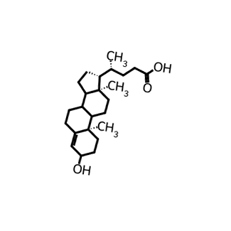 C[C@H](CCC(=O)O)[C@H]1CCC2C3CCC4=CC(O)CC[C@]4(C)C3CC[C@@]21C